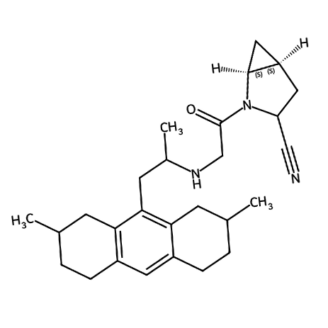 CC1CCc2cc3c(c(CC(C)NCC(=O)N4C(C#N)C[C@@H]5C[C@@H]54)c2C1)CC(C)CC3